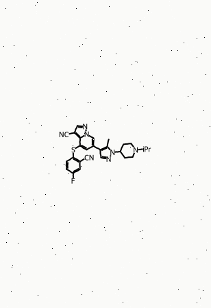 Cc1c(-c2cc(Sc3ccc(F)cc3C#N)c3c(C#N)cnn3c2)cnn1C1CCN(C(C)C)CC1